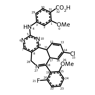 COc1cc(Nc2ncc3c(n2)C2C=CC(Cl)=CC2C(c2c(F)cccc2OC)=NC3)ccc1C(=O)O